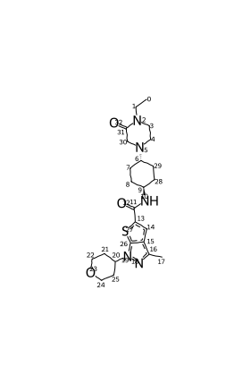 CCN1CCN([C@H]2CC[C@H](NC(=O)c3cc4c(C)nn(C5CCOCC5)c4s3)CC2)CC1=O